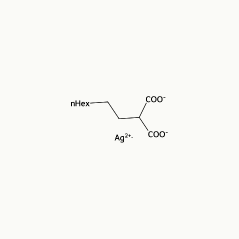 CCCCCCCCC(C(=O)[O-])C(=O)[O-].[Ag+2]